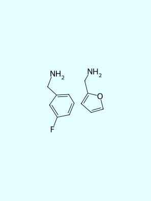 NCc1cccc(F)c1.NCc1ccco1